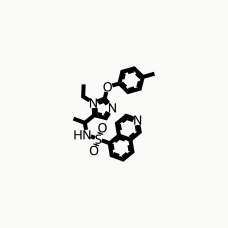 CCn1c(C(C)NS(=O)(=O)c2cccc3cnccc23)cnc1Oc1ccc(C)cc1